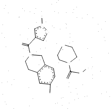 CC(C)n1cc(C(=O)N2CCc3cc(Cl)cc([C@@H]4COCCN4C(=O)OC(C)(C)C)c3C2)cn1